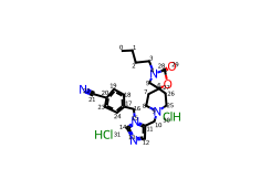 CCCCN1CC2(CCN(Cc3cncn3Cc3ccc(C#N)cc3)CC2)OC1=O.Cl.Cl